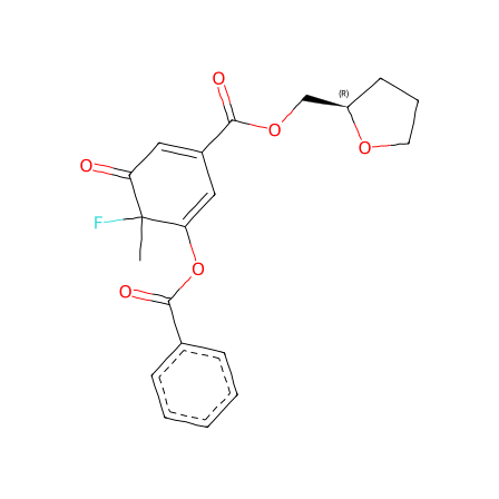 CC1(F)C(=O)C=C(C(=O)OC[C@H]2CCCO2)C=C1OC(=O)c1ccccc1